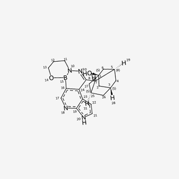 O[C@]12C[C@@H]3C[C@H](C1)[C@H](C1=NN4CCCOB4c4cnc5[nH]ccc5c41)[C@@H](C3)C2